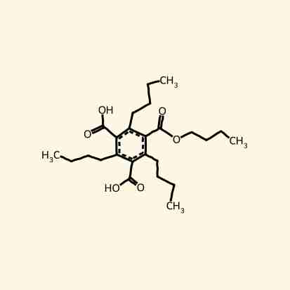 CCCCOC(=O)c1c(CCCC)c(C(=O)O)c(CCCC)c(C(=O)O)c1CCCC